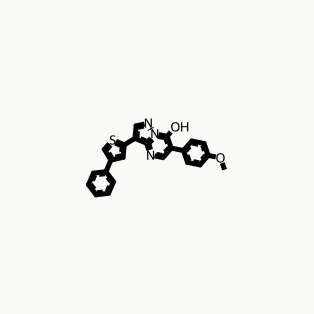 COc1ccc(-c2cnc3c(-c4cc(-c5ccccc5)cs4)cnn3c2O)cc1